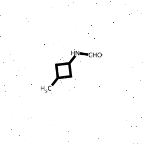 CC1CC(N[C]=O)C1